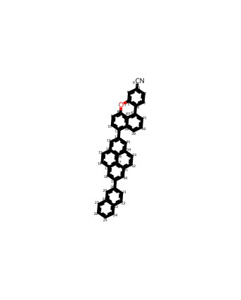 N#Cc1ccc2c(c1)Oc1ccc(-c3cc4ccc5cc(-c6ccc7ccccc7c6)cc6ccc(c3)c4c56)c3cccc-2c13